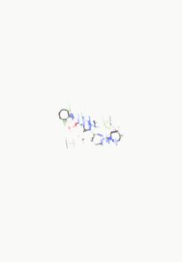 CC1=C(c2c(C)c(C(=O)Nc3c(F)cccc3F)nn2C)CN(c2ncccc2F)CC1